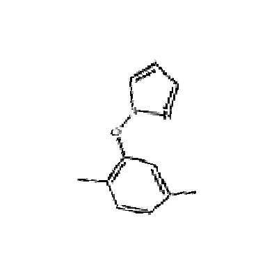 Cc1ccc(C)c(On2c[c]cn2)c1